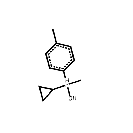 Cc1ccc([PH](C)(O)C2CC2)cc1